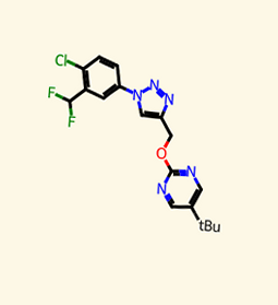 CC(C)(C)c1cnc(OCc2cn(-c3ccc(Cl)c(C(F)F)c3)nn2)nc1